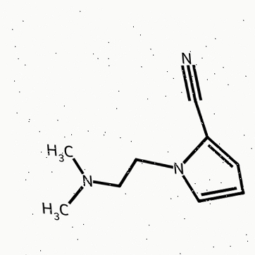 CN(C)CCn1cccc1C#N